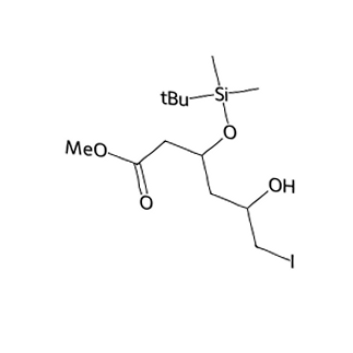 COC(=O)CC(CC(O)CI)O[Si](C)(C)C(C)(C)C